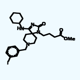 COC(=O)CCCN1C(=O)N=C(NC2CCCCC2)C12CCN(Cc1cccc(I)c1)CC2